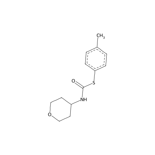 Cc1ccc(SC(=O)NC2CCOCC2)cc1